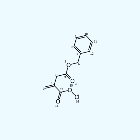 C=C(CC(=O)OCc1ccccc1)C(=O)OCl